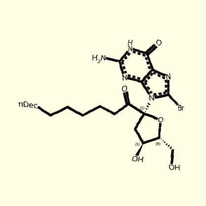 CCCCCCCCCCCCCCCC(=O)[C@]1(n2c(Br)nc3c(=O)[nH]c(N)nc32)C[C@H](O)[C@@H](CO)O1